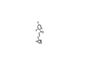 Cn1cnnc1S/C=C/C(=O)c1ncc(F)cc1F